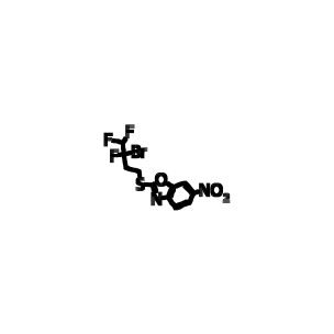 O=[N+]([O-])c1ccc2nc(SCCC(F)(Br)C(F)F)oc2c1